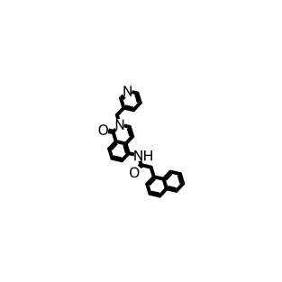 O=C(Cc1cccc2ccccc12)Nc1cccc2c(=O)n(Cc3cccnc3)ccc12